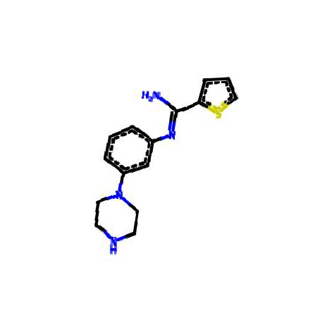 N/C(=N\c1cccc(N2CCNCC2)c1)c1cccs1